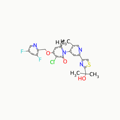 Cc1cnc(-c2csc(C(C)(C)O)n2)cc1-n1c(C)cc(OCc2ncc(F)cc2F)c(Cl)c1=O